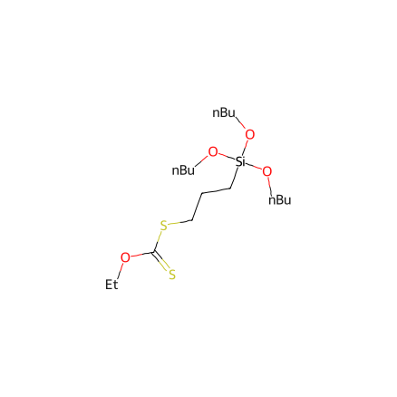 CCCCO[Si](CCCSC(=S)OCC)(OCCCC)OCCCC